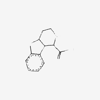 O=C(O)C1NCCC2Sc3ccccc3C21